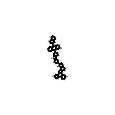 c1ccc2cc(-c3c4ccccc4c(-c4ccc5c(c4)oc4ccc(-c6ccc7ccc8c(sc9c%10ccccc%10c%10ccccc%10c89)c7c6)cc45)c4ccccc34)ccc2c1